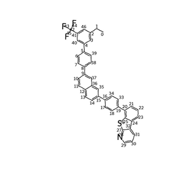 CCc1cc(-c2ccc(-c3ccc4ccc(-c5ccc(-c6cccc7c6sc6ncccc67)cc5)cc4c3)cc2)cc(C(F)(F)F)c1